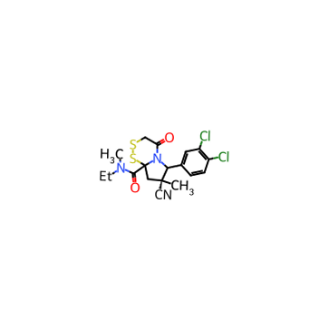 CCN(C)C(=O)C12C[C@](C)(C#N)C(c3ccc(Cl)c(Cl)c3)N1C(=O)CSS2